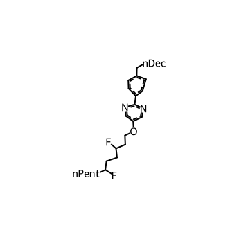 CCCCCCCCCCCc1ccc(-c2ncc(OCCC(F)CCC(F)CCCCC)cn2)cc1